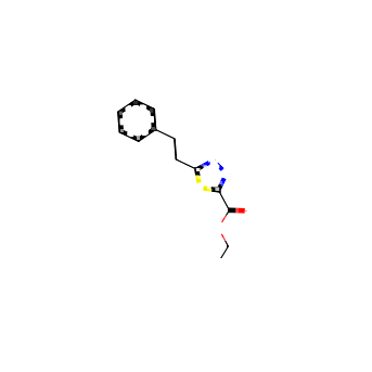 CCOC(=O)c1nnc(CCc2ccccc2)s1